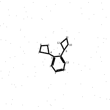 [c]1ccc(C2CCC2)c(C2CCC2)c1